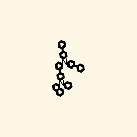 c1ccc(-c2ccc(N(c3ccc(-c4ccccc4)cc3)c3cccc(-c4ccc(N(c5ccccc5)c5cccc6ccccc56)cc4)c3)cc2)cc1